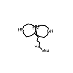 CCCCBCCCC1CCCBCCCNC12CCCCBCCCN2